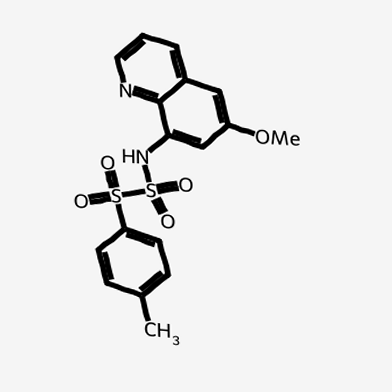 COc1cc(NS(=O)(=O)S(=O)(=O)c2ccc(C)cc2)c2ncccc2c1